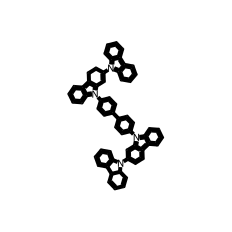 C1=CC2c3ccccc3N(c3ccc4c5ccccc5n(-c5ccc(-c6ccc(-n7c8c(c9ccccc97)CCC(n7c9ccccc9c9ccccc97)=C8)cc6)cc5)c4c3)C2C=C1